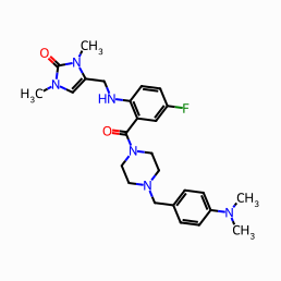 CN(C)c1ccc(CN2CCN(C(=O)c3cc(F)ccc3NCc3cn(C)c(=O)n3C)CC2)cc1